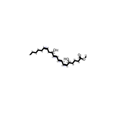 CCCCC/C=C\C[C@@H](O)/C=C/C=C/C=C\[C@@H](O)CCCC(=O)OC